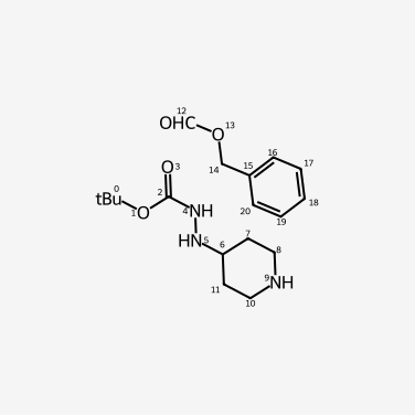 CC(C)(C)OC(=O)NNC1CCNCC1.O=COCc1ccccc1